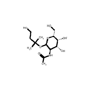 CC(=O)N[C@H]1C(OC(C)(C)CCO)O[C@H](CO)[C@H](O)[C@@H]1O